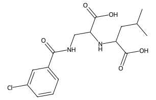 CC(C)CC(NC(CNC(=O)c1cccc(Cl)c1)C(=O)O)C(=O)O